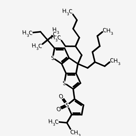 CCCCC(CC)CC1(CC(CC)CCCC)c2cc(C3=CC=C(C(C)C)S3(=O)=O)sc2-c2sc(C(C)(C)CC)cc21